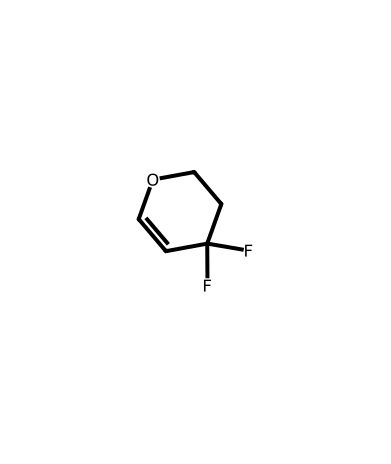 FC1(F)C=COCC1